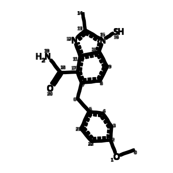 COc1ccc(Cc2ccc3c(nc(C)n3S)c2C(N)=O)cc1